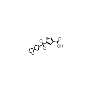 O=C(O)c1csc(S(=O)(=O)N2CC3(CCO3)C2)c1